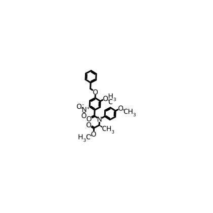 COC(=O)[C@H](C)N(C(=O)c1cc(OC)c(OCc2ccccc2)cc1[N+](=O)[O-])c1ccc(OC)cc1